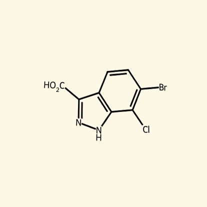 O=C(O)c1n[nH]c2c(Cl)c(Br)ccc12